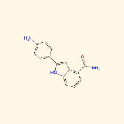 NC(=O)c1cccc2[nH]c(-c3ccc(N)cc3)cc12